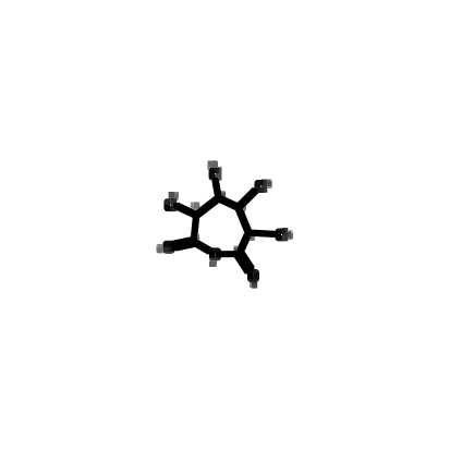 O=C1OC(=O)C(Cl)C(Cl)C(Cl)C1Cl